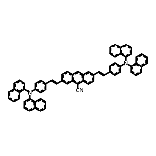 N#Cc1c2ccc(C=Cc3ccc(N(c4cccc5ccccc45)c4cccc5ccccc45)cc3)cc2cc2ccc(C=Cc3ccc(N(c4cccc5ccccc45)c4cccc5ccccc45)cc3)cc12